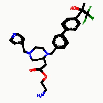 CC(O)(c1ccc(-c2ccc(CN3CCN(Cc4ccncc4)C[C@@H]3CC(=O)OCCN)cc2)cc1)C(F)(F)F